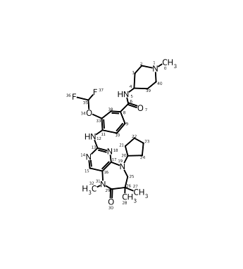 CN1CCC(NC(=O)c2ccc(Nc3ncc4c(n3)N(C3CCCC3)CC(C)(C)C(=O)N4C)c(OC(F)F)c2)CC1